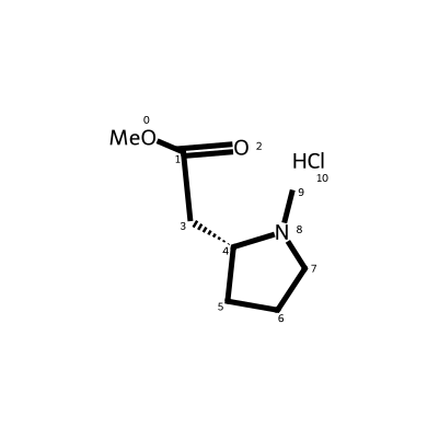 COC(=O)C[C@H]1CCCN1C.Cl